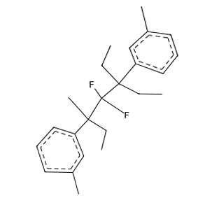 CCC(C)(c1cccc(C)c1)C(F)(F)C(CC)(CC)c1cccc(C)c1